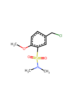 COc1ccc(CCl)cc1S(=O)(=O)N(C)C